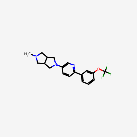 CN1CC2CN(c3ccc(-c4cccc(OC(F)(F)F)c4)nc3)CC2C1